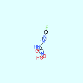 C[C@@H]1CN(c2ccc(F)cc2)CCN1CC[C@H]1CC2(CCN(C(=O)O)CC2)C(=O)N1